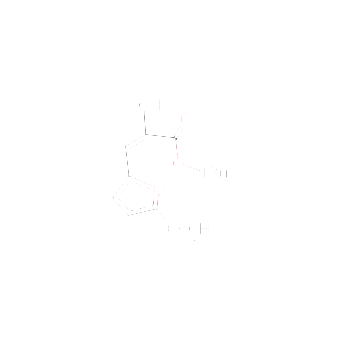 CC(=Cc1ccc(C(=O)O)o1)C(=O)OC(C)(C)C